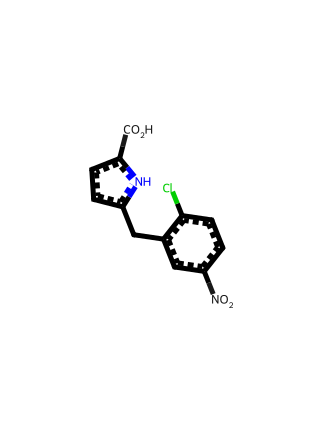 O=C(O)c1ccc(Cc2cc([N+](=O)[O-])ccc2Cl)[nH]1